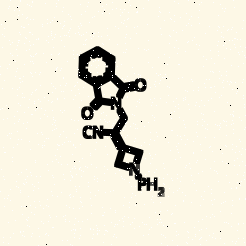 [C-]#[N+]C(CN1C(=O)c2ccccc2C1=O)=C1CN(P)C1